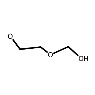 [O]CCOCO